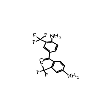 Nc1ccc(C(=O)c2ccc(N)c(C(F)(F)F)c2)c(C(F)(F)F)c1